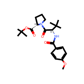 COc1ccc(C(=O)N[C@H](C(=O)N2CCC[C@H]2C(=O)OC(C)(C)C)C(C)(C)C)cc1